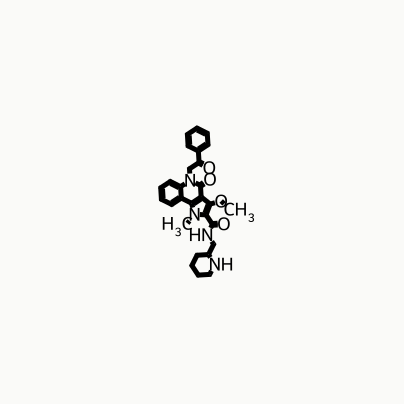 COc1c(C(=O)NCC2CCCCN2)n(C)c2c1c(=O)n(CC(=O)c1ccccc1)c1ccccc21